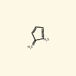 C=C1C=CC=C1.S